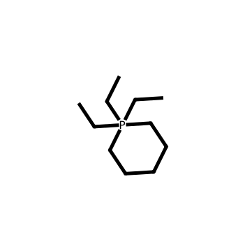 CCP1(CC)(CC)CCCCC1